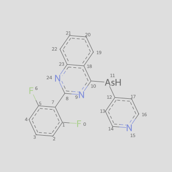 Fc1cccc(F)c1-c1nc([AsH]c2ccncc2)c2ccccc2n1